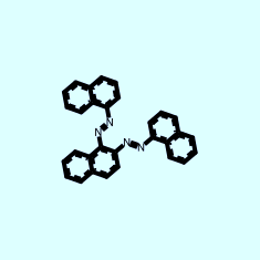 c1ccc2c(N=Nc3ccc4ccccc4c3N=Nc3cccc4ccccc34)cccc2c1